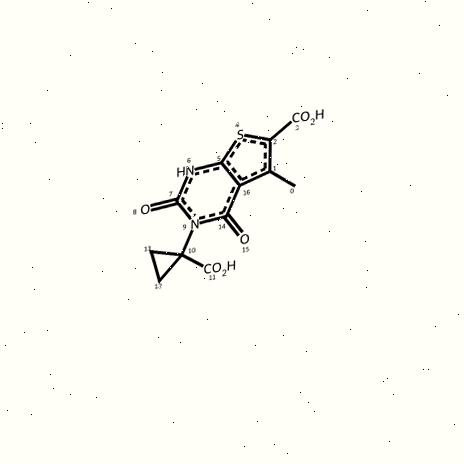 Cc1c(C(=O)O)sc2[nH]c(=O)n(C3(C(=O)O)CC3)c(=O)c12